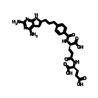 Nc1nc(N)c2c(n1)NC(CCCc1ccc(C(=O)N[C@@H](CCC(=O)N[C@@H](CCC(=O)O)C(=O)O)C(=O)O)cc1)C2